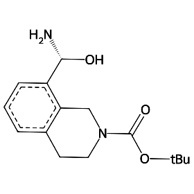 CC(C)(C)OC(=O)N1CCc2cccc([C@H](N)O)c2C1